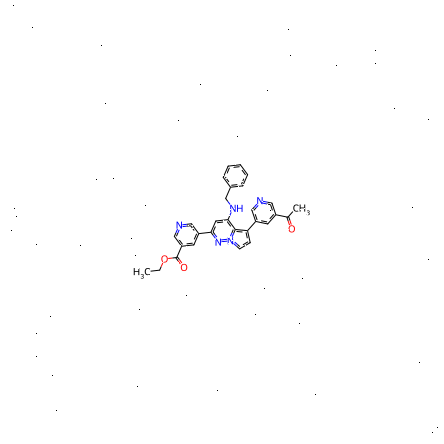 CCOC(=O)c1cncc(-c2cc(NCc3ccccc3)c3c(-c4cncc(C(C)=O)c4)ccn3n2)c1